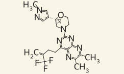 C=C(CCc1nc(N2CCO[C@@H](c3cnn(C)c3)C2)nc2nc(C)c(C)nc12)C(F)(F)F